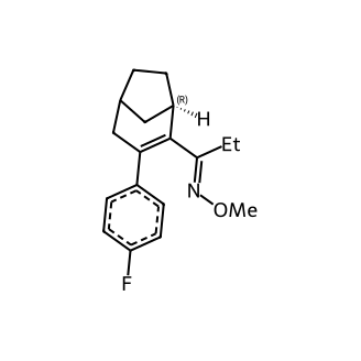 CCC(=NOC)C1=C(c2ccc(F)cc2)CC2CC[C@@H]1C2